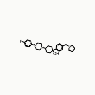 OC1(c2ccc(CN3CCCC3)cc2)CCC(N2CCN(c3ccc(F)cc3)CC2)CC1